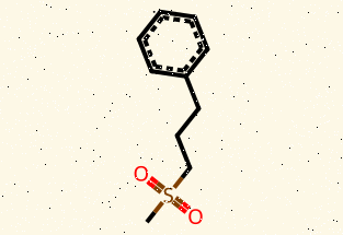 CS(=O)(=O)CCCc1cc[c]cc1